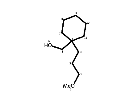 COCCCC1(CO)CCCCC1